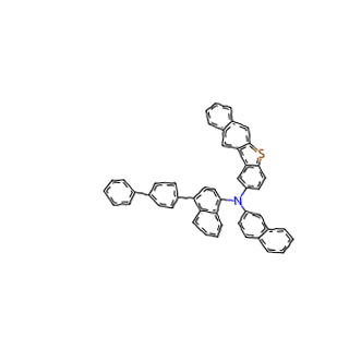 c1ccc(-c2ccc(-c3ccc(N(c4ccc5ccccc5c4)c4ccc5sc6cc7ccccc7cc6c5c4)c4ccccc34)cc2)cc1